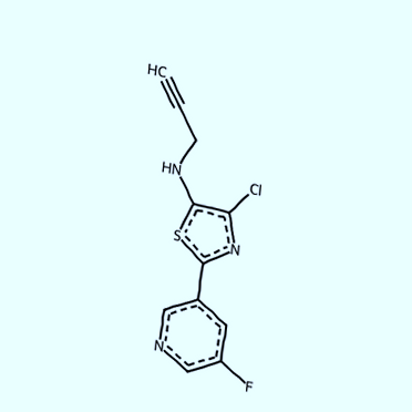 C#CCNc1sc(-c2cncc(F)c2)nc1Cl